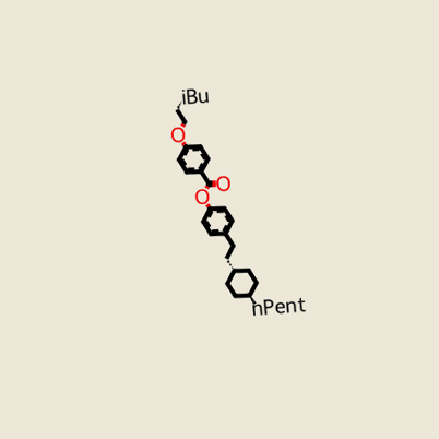 CCCCC[C@H]1CC[C@H](CCc2ccc(OC(=O)c3ccc(OCC[C@@H](C)CC)cc3)cc2)CC1